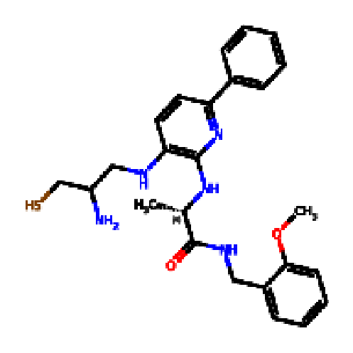 COc1ccccc1CNC(=O)[C@H](C)Nc1nc(-c2ccccc2)ccc1NCC(N)CS